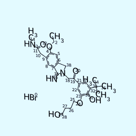 Br.CCOc1cc2c(cc1CC(=O)NC)C(=N)N(CC(=O)c1cc(OCCCCO)c(O)c(C(C)(C)C)c1)C2